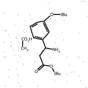 CC(=O)O.CC(C)(C)OC(=O)CC(N)c1cccc(OC(C)(C)C)c1